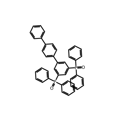 O=P(c1ccccc1)(c1ccccc1)c1cc(-c2ccc(-c3ccccc3)cc2)cc(P(=O)(c2ccccc2)c2ccccc2)c1